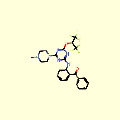 CN1CCN(c2nc(Nc3ccccc3C(=O)c3ccccc3)nc(OC(C(F)(F)F)C(F)(F)F)n2)CC1